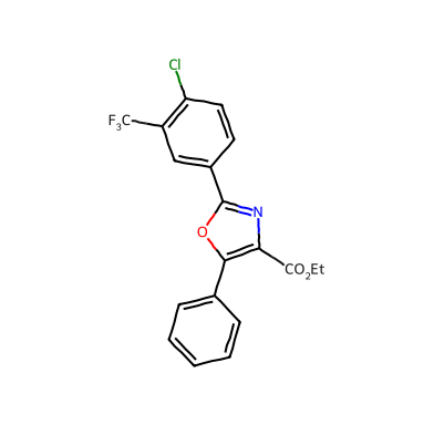 CCOC(=O)c1nc(-c2ccc(Cl)c(C(F)(F)F)c2)oc1-c1ccccc1